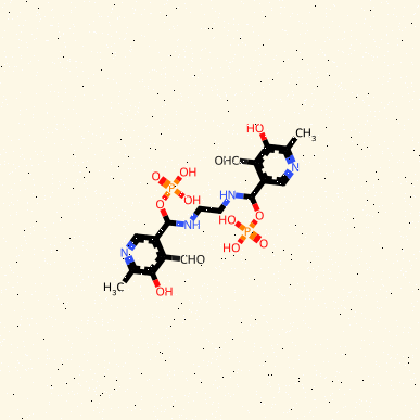 Cc1ncc(C(NCCNC(OP(=O)(O)O)c2cnc(C)c(O)c2C=O)OP(=O)(O)O)c(C=O)c1O